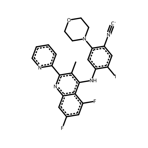 [C-]#[N+]c1cc(I)c(Nc2c(C)c(-c3ccccn3)nc3cc(F)cc(F)c23)cc1N1CCOCC1